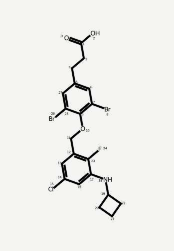 O=C(O)CCc1cc(Br)c(OCc2cc(Cl)cc(NC3CCC3)c2F)c(Br)c1